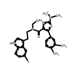 CC(=O)OCN(CCc1c[nH]c2ccc(F)cc12)C(=O)c1nc(N(C)C)sc1-c1ccc(C)c(C)c1